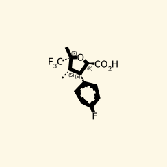 C[C@H]1[C@@H](c2ccc(F)cc2)[C@H](C(=O)O)O[C@@]1(C)C(F)(F)F